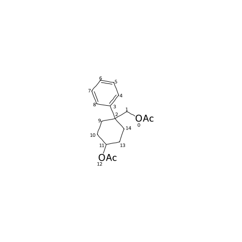 CC(=O)OCC1(c2ccccc2)CCC(OC(C)=O)CC1